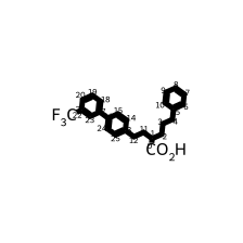 O=C(O)C(CCCc1ccccc1)CCc1ccc(-c2cccc(C(F)(F)F)c2)cc1